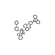 c1ccc(-c2cccc(-c3nc(-c4ccc5c6c(cccc46)-c4ccc(-n6c7ccccc7c7ccccc76)cc4S5)nc4c3oc3ccccc34)c2)cc1